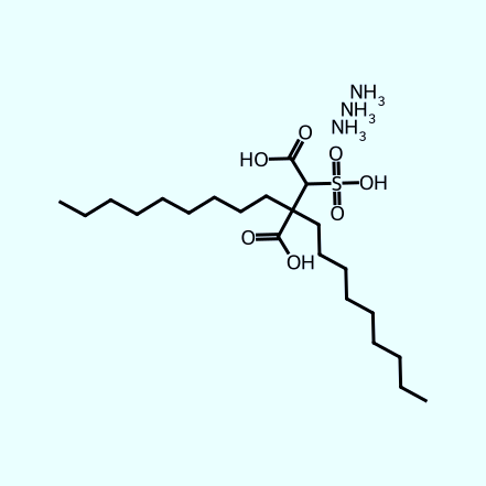 CCCCCCCCCC(CCCCCCCCC)(C(=O)O)C(C(=O)O)S(=O)(=O)O.N.N.N